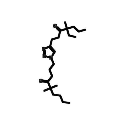 CCCCC(C)(C)C(=O)CCCn1cc(CCC(=O)C(C)(CC)CCC)nn1